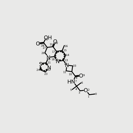 CCOCC(C)(C)NC(=O)C1CN(c2cc(C)c3c(n2)N(c2nccs2)CC(C(=O)O)C3=O)C1